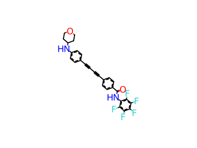 O=C(Nc1c(F)c(F)c(F)c(F)c1F)c1ccc(C#CC#Cc2ccc(NC3CCOCC3)cc2)cc1